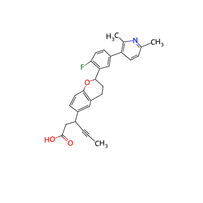 CC#CC(CC(=O)O)c1ccc2c(c1)CCC(c1cc(-c3ccc(C)nc3C)ccc1F)O2